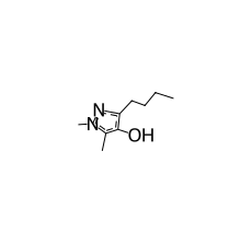 CCCCc1nn(C)c(C)c1O